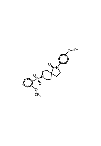 CC(C)Oc1ccc(N2CCC3(CCN(S(=O)(=O)c4ccccc4OC(F)(F)F)CC3)C2=O)cc1